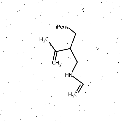 C=CNCC(CC(C)CCC)C(=C)C